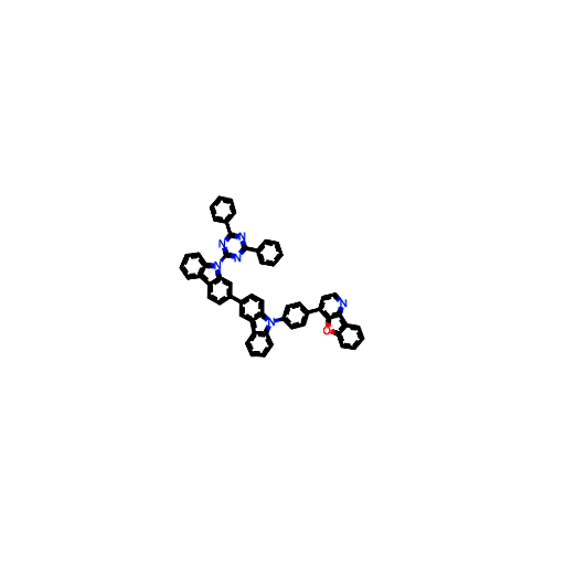 c1ccc(-c2nc(-c3ccccc3)nc(-n3c4ccccc4c4ccc(-c5ccc6c(c5)c5ccccc5n6-c5ccc(-c6ccnc7c6oc6ccccc67)cc5)cc43)n2)cc1